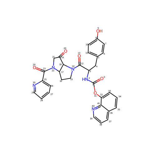 O=C(NC(Cc1ccc(O)cc1)C(=O)N1CCC2C1C(=O)CN2C(=O)c1ccccn1)Oc1cccc2cccnc12